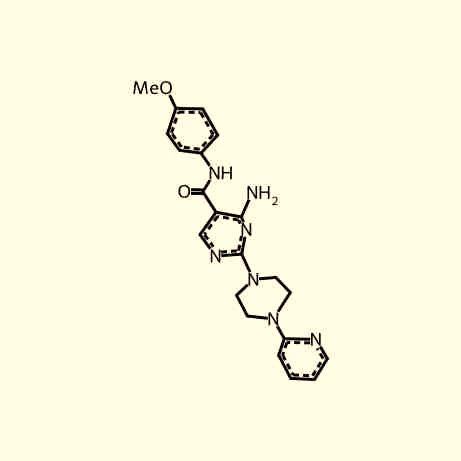 COc1ccc(NC(=O)c2cnc(N3CCN(c4ccccn4)CC3)nc2N)cc1